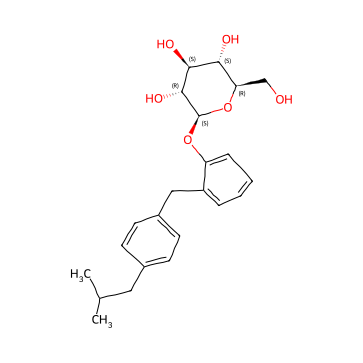 CC(C)Cc1ccc(Cc2ccccc2O[C@@H]2O[C@H](CO)[C@@H](O)[C@H](O)[C@H]2O)cc1